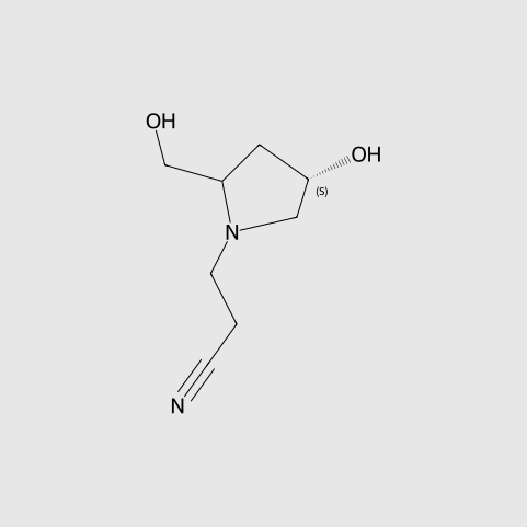 N#CCCN1C[C@@H](O)CC1CO